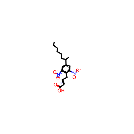 CCCCCCC(C)c1cc([N+](=O)[O-])c(C/C=C/C(=O)O)c([N+](=O)[O-])c1